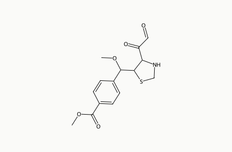 COC(=O)c1ccc(C(OC)C2SCNC2C(=O)C=O)cc1